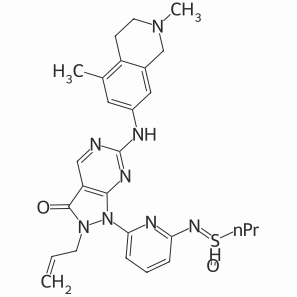 C=CCn1c(=O)c2cnc(Nc3cc(C)c4c(c3)CN(C)CC4)nc2n1-c1cccc(/N=[SH](=O)/CCC)n1